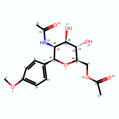 COc1ccc([C@@H]2O[C@H](COC(C)=O)[C@@H](O)[C@H](O)[C@@H]2NC(C)=O)cc1